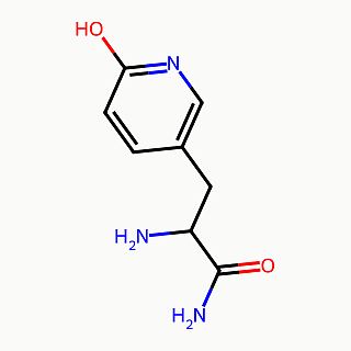 NC(=O)C(N)Cc1ccc(O)nc1